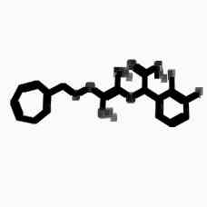 CC(=O)C(O/C(N)=C(\C)OSCC1=CCC=CC=C1)c1cccc(F)c1F